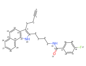 C#CCCc1c(CCCCNC(=O)c2ccc(F)cc2)[nH]c2c1ccc1ccccc12